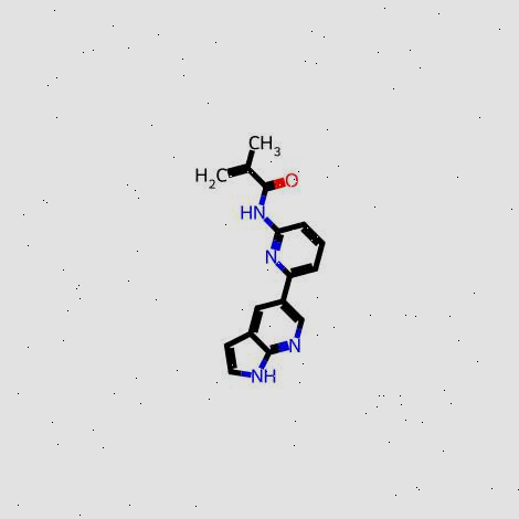 C=C(C)C(=O)Nc1cccc(-c2cnc3[nH]ccc3c2)n1